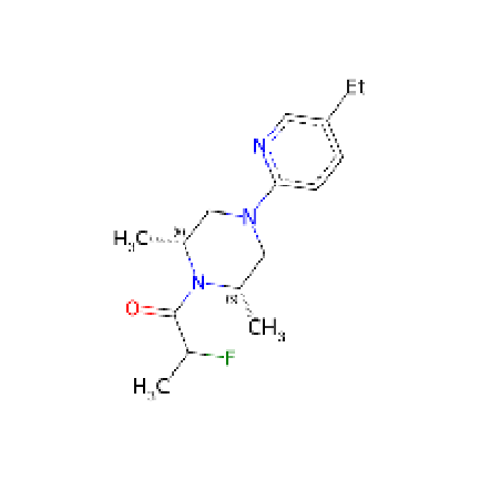 CCc1ccc(N2C[C@@H](C)N(C(=O)C(C)F)[C@@H](C)C2)nc1